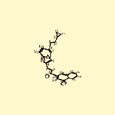 O=C(CCc1cn2cc(CCC3CC3)ccc2n1)C1=CC(=O)C2C=CC=CC2=C1